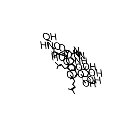 CC(C)=CCCC1(C)C=Cc2c(c(CC=C(C)C)c3c(c2O[C@H]2O[C@@H](CO)[C@H](O)[C@@H](O)[C@@H]2O)C2=C4C(C5CC(C(C)C)C4(O3)C(O)(C/C=C(/C)C(=O)NCCO)C5=O)n3ncnc3N2)O1